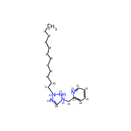 CCCCCCCCCCCCN1N=CN(Cc2ccccn2)N1